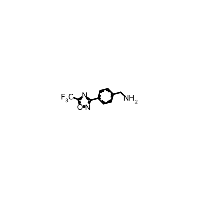 NCc1ccc(-c2noc(C(F)(F)F)n2)cc1